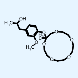 COc1cc(CC(C)O)ccc1OC1(C)COCCOCCOCCOCCO1